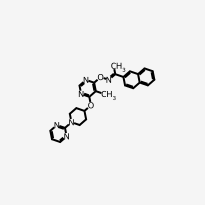 CC(=NOc1ncnc(OC2CCN(c3ncccn3)CC2)c1C)c1ccc2ccccc2c1